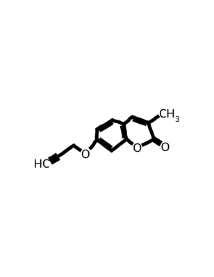 C#CCOc1ccc2cc(C)c(=O)oc2c1